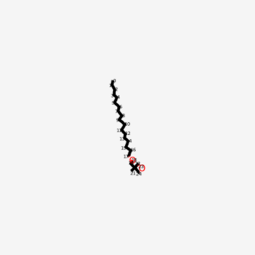 CCCCCCCCCCCCCCCCCCOCC1(C)COC1